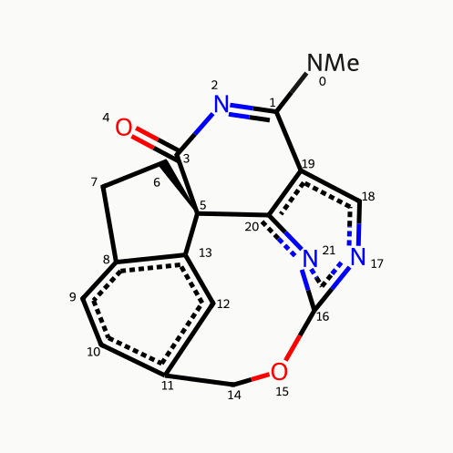 CNC1=NC(=O)[C@@]23CCc4ccc(cc42)COc2ncc1c3n2